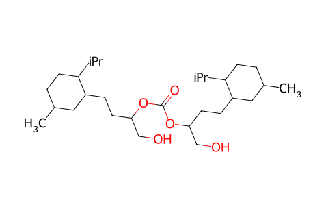 CC1CCC(C(C)C)C(CCC(CO)OC(=O)OC(CO)CCC2CC(C)CCC2C(C)C)C1